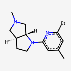 CCc1cc(C)cc(N2CC[C@H]3CN(C)C[C@@H]32)n1